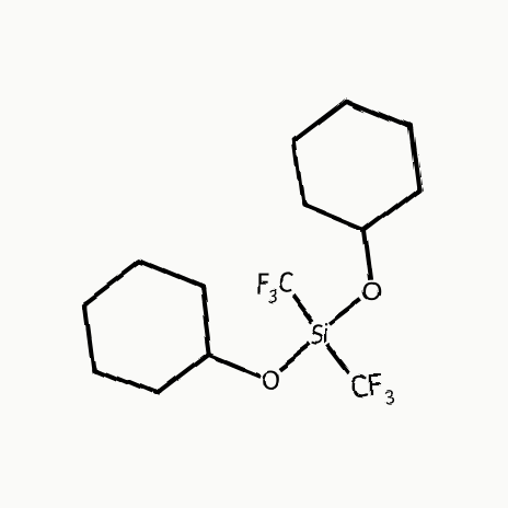 FC(F)(F)[Si](OC1CCCCC1)(OC1CCCCC1)C(F)(F)F